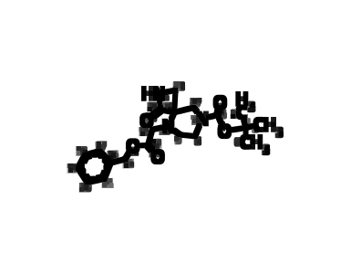 CC(C)(C)OC(=O)N1CCN(CC(=O)OCc2ccccc2)C2(CNC2=O)C1